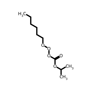 CCCCCCOOOC(=O)OC(C)C